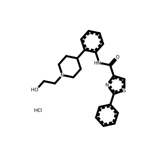 Cl.O=C(Nc1ccccc1C1CCN(CCO)CC1)c1csc(-c2ccccc2)n1